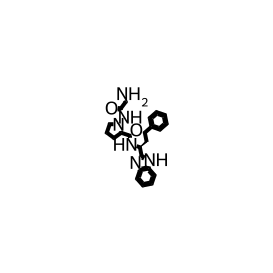 NCC(=O)NN1CCCC1C(=O)N[C@@H](CCc1ccccc1)c1nc2ccccc2[nH]1